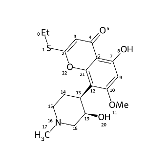 CCSc1cc(=O)c2c(O)cc(OC)c([C@@H]3CCN(C)C[C@@H]3O)c2o1